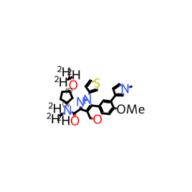 [2H]C([2H])([2H])O[C@H]1CC[C@H](N(C(=O)c2nn(-c3ccsc3)c3c2COc2cc(OC)c(-c4ccn(C)c4)cc2-3)C([2H])([2H])[2H])C1